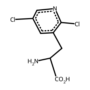 NC(Cc1cc(Cl)cnc1Cl)C(=O)O